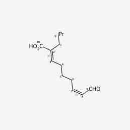 CC(C)C/C(=C\CCC/C=C\C=O)C(=O)O